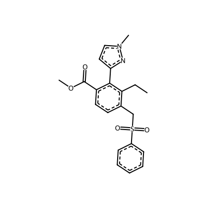 CCc1c(CS(=O)(=O)c2ccccc2)ccc(C(=O)OC)c1-c1ccn(C)n1